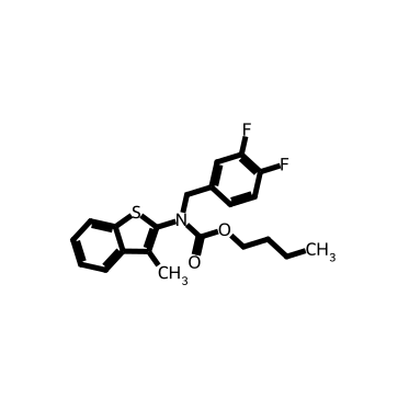 CCCCOC(=O)N(Cc1ccc(F)c(F)c1)c1sc2ccccc2c1C